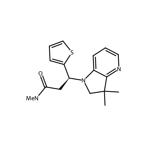 CNC(=O)C[C@@H](c1cccs1)N1CC(C)(C)c2ncccc21